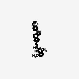 Cc1cccc(C)c1NC(=S)N/N=C/c1ccc2c(c1)CCc1c-2cnn1-c1ccc(OC(F)(F)F)cc1